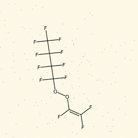 FC(F)=C(F)OOC(F)(F)C(F)(F)C(F)(F)C(F)(F)F